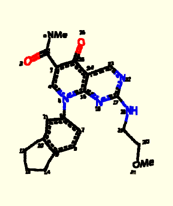 CNC(=O)c1cn(-c2ccc3c(c2)CCC3)c2nc(NCCOC)ncc2c1=O